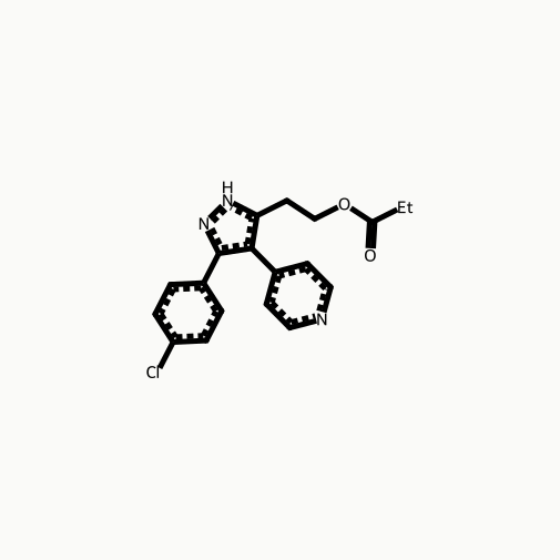 CCC(=O)OCCc1[nH]nc(-c2ccc(Cl)cc2)c1-c1ccncc1